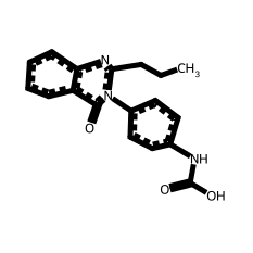 CCCc1nc2ccccc2c(=O)n1-c1ccc(NC(=O)O)cc1